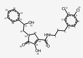 O=C(NCCCc1ccc(Cl)c(Cl)c1)C1=C(O)C(=O)N(CC(O)c2ccccc2)C1